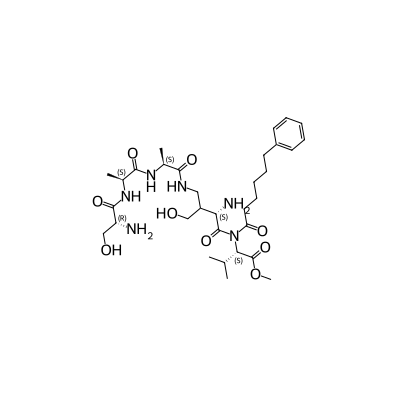 COC(=O)[C@H](C(C)C)N(C(=O)CCCCCc1ccccc1)C(=O)[C@@H](N)C(CO)CNC(=O)[C@H](C)NC(=O)[C@H](C)NC(=O)[C@H](N)CO